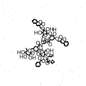 CCC[C@H](OC1C(OC(=O)c2ccccc2)[C@H](O[C@@H]2CC(C(=O)NCCNC(=O)C3CC(OCc4cc5ccccc5oc4=O)C(O)[C@H](O[C@@H]4OC(CO)[C@H](O)C(OCc5cc6ccccc6oc5=O)C4O)C3)CC(C)C2O[C@@H]2OC(C)[C@@H](O)C(O)C2O)OC(CO)[C@@H]1O)C(=O)N1CCC1